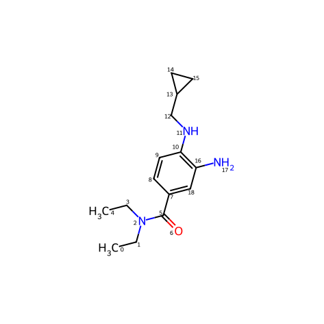 CCN(CC)C(=O)c1ccc(NCC2CC2)c(N)c1